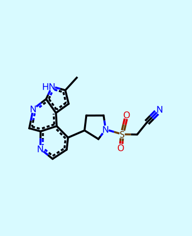 Cc1cc2c(ncc3nccc(C4CCN(S(=O)(=O)CC#N)C4)c32)[nH]1